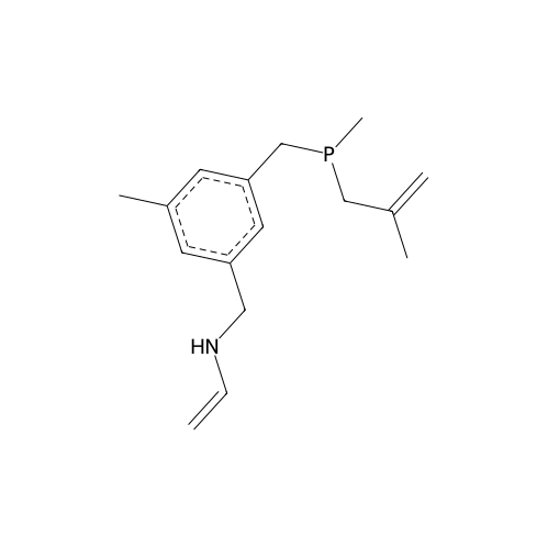 C=CNCc1cc(C)cc(CP(C)CC(=C)C)c1